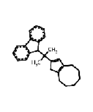 CC(C)(C1=CC2=C(CCCCCC2)C1)C1c2ccccc2-c2ccccc21